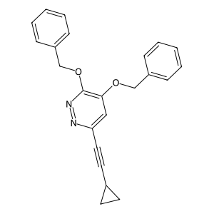 C(#CC1CC1)c1cc(OCc2ccccc2)c(OCc2ccccc2)nn1